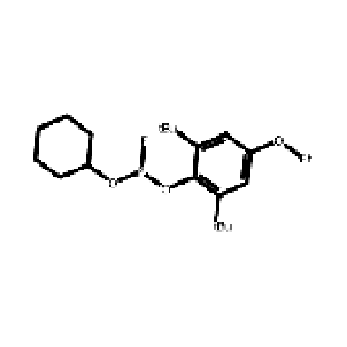 CCOc1cc(C(C)(C)C)c(OP(F)OC2CCCCC2)c(C(C)(C)C)c1